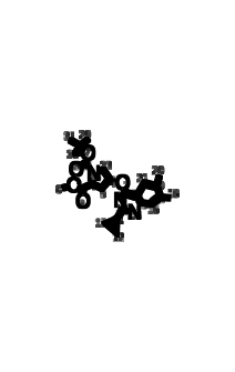 COC(=O)C1C[C@@H](Oc2nc(C3CC3)nc3cc(C)c(C)cc23)CN1C(=O)OC(C)(C)C